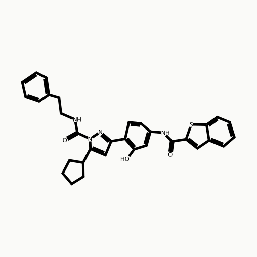 O=C(Nc1ccc(-c2cc(C3CCCC3)n(C(=O)NCCc3ccccc3)n2)c(O)c1)c1cc2ccccc2s1